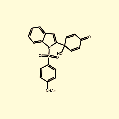 CC(=O)Nc1ccc(S(=O)(=O)n2c(C3(O)C=CC(=O)C=C3)cc3ccccc32)cc1